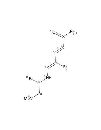 CCC(/C=C/C(N)=O)=C\NC(F)CNC